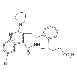 Cc1ccccc1C(CCC(=O)O)CNC(=O)c1c(C)c(N2CCCC2)nc2ccc(Br)cc12